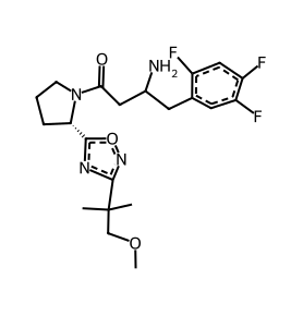 COCC(C)(C)c1noc([C@@H]2CCCN2C(=O)CC(N)Cc2cc(F)c(F)cc2F)n1